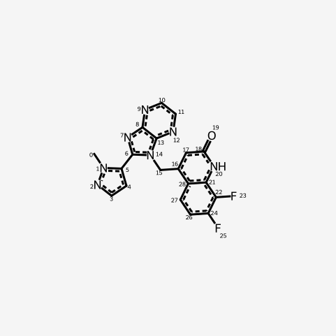 Cn1nccc1-c1nc2nccnc2n1Cc1cc(=O)[nH]c2c(F)c(F)ccc12